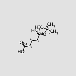 CC(C)(C)OC(=N)CCCC(=O)O